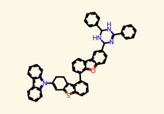 C1=C(n2c3ccccc3c3ccccc32)CCc2c1sc1cccc(-c3cccc4c3oc3ccc(C5N=C(c6ccccc6)NC(c6ccccc6)N5)cc34)c21